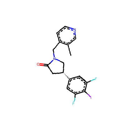 Cc1cnccc1CN1C[C@H](c2cc(F)c(I)c(F)c2)CC1=O